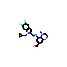 CN1CCOc2cc(C=O)cc(/N=C/c3cc4cc(F)c(F)cc4n3CC3CC3)c21